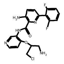 NCC(CCl)Oc1ccncc1NC(=O)c1nc(-c2c(F)cccc2F)ccc1N